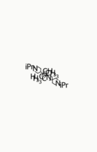 CC(C)N1CCC(C(C)(C)C(C)(C)N2CC3(CCN(C(C)C)CC3)C2)CC1